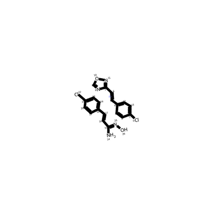 Clc1ccc(/C=C/c2ncon2)cc1.NC(C=Cc1ccc(Cl)cc1)=NO